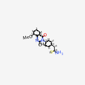 COc1cccc2c(=O)n(-c3ccc(CC(N)=S)cc3)c(C)nc12